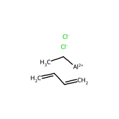 C=CC=C.C[CH2][Al+2].[Cl-].[Cl-]